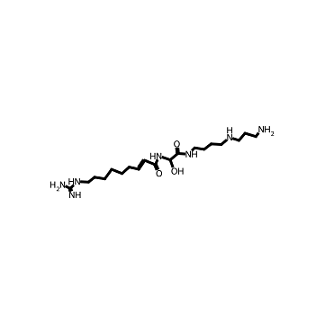 N=C(N)NCCCCCCC=CC(=O)NC(O)C(=O)NCCCCNCCCN